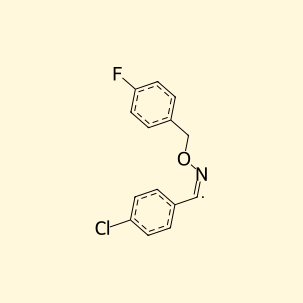 Fc1ccc(CO/N=[C]\c2ccc(Cl)cc2)cc1